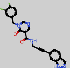 O=C(NCC#Cc1ccc2cn[nH]c2c1)c1cncn(Cc2ccc(F)c(F)c2)c1=O